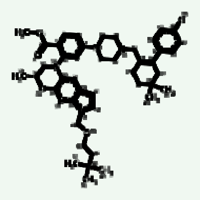 COC(=O)c1ccc(N2CCN(CC3=C(c4ccc(Cl)cc4)CC(C)(C)CC3)CC2)cc1N1C[C@@H](C)Oc2nc3c(ccn3COCC[Si](C)(C)C)cc21